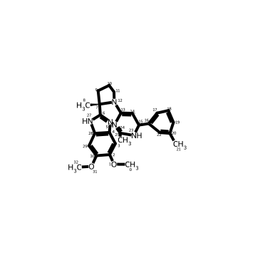 COc1cc2nc([C@]3(C)CCCN3C3=[C]C(c4cccc(C)c4)NC(C)=N3)[nH]c2cc1OC